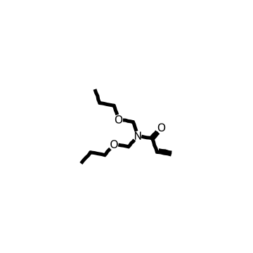 C=CC(=O)N(COCCC)COCCC